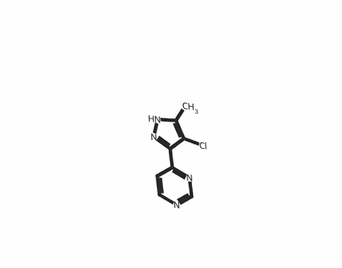 Cc1[nH]nc(-c2ccncn2)c1Cl